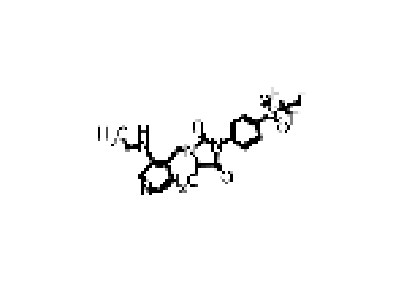 CCNc1cnccc1CN1C(=O)N(c2ccc(S(=O)(=O)C(F)(F)F)cc2)C(=O)C1C